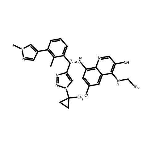 Cc1c(-c2cnn(C)c2)cccc1[C@H](Nc1cc(Cl)cc2c(NCC(C)(C)C)c(C#N)cnc12)c1cn(C2(C(F)(F)F)CC2)nn1